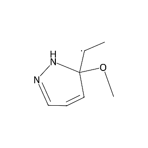 C[CH]C1(OC)C=CC=NN1